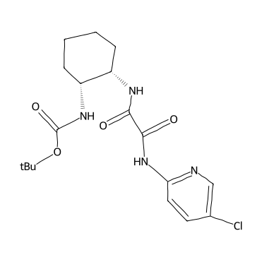 CC(C)(C)OC(=O)N[C@@H]1CCCC[C@@H]1NC(=O)C(=O)Nc1ccc(Cl)cn1